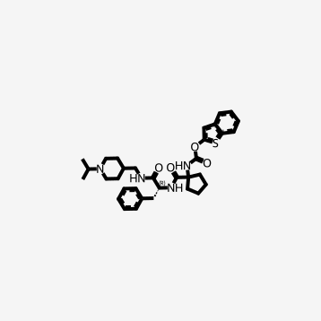 CC(C)N1CCC(CNC(=O)[C@@H](Cc2ccccc2)NC(=O)C2(NC(=O)Oc3cc4ccccc4s3)CCCC2)CC1